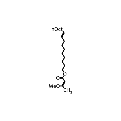 CCCCCCCC/C=C/CCCCCCCCOC(=O)/C=C(/C)OC